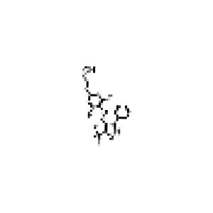 OCCCc1cc(F)c(OCc2c(-c3ccccc3)nsc2C(F)(F)F)c(F)c1